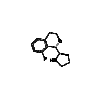 Fc1cccc2c1[C@@H]([C@H]1CCCN1)OCC2